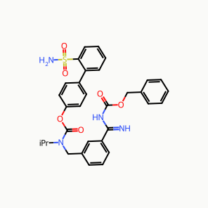 CC(C)N(Cc1cccc(C(=N)NC(=O)OCc2ccccc2)c1)C(=O)Oc1ccc(-c2ccccc2S(N)(=O)=O)cc1